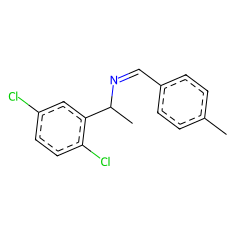 Cc1ccc(/C=N\C(C)c2cc(Cl)ccc2Cl)cc1